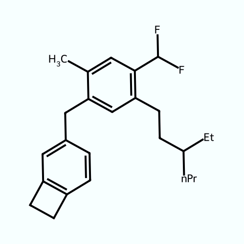 CCCC(CC)CCc1cc(Cc2ccc3c(c2)CC3)c(C)cc1C(F)F